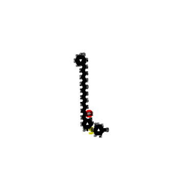 Cc1ccc(Sc2ccc(CC(=O)CCCCCCCCCCCCCCc3ccccc3)cc2)cc1